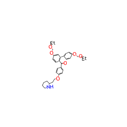 CCOCOc1ccc(-c2cc(OCOCC)ccc2C(=O)c2ccc(OCCC3CCCCN3)cc2)cc1